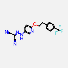 N#CC(C#N)=NNc1ccc(OCCc2ccc(C(F)(F)F)cc2)nc1